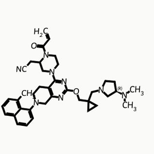 C=CC(=O)N1CCN(c2nc(OCC3(CN4CC[C@@H](N(C)C)C4)CC3)nc3c2CCN(c2cccc4cccc(C)c24)C3)CC1CC#N